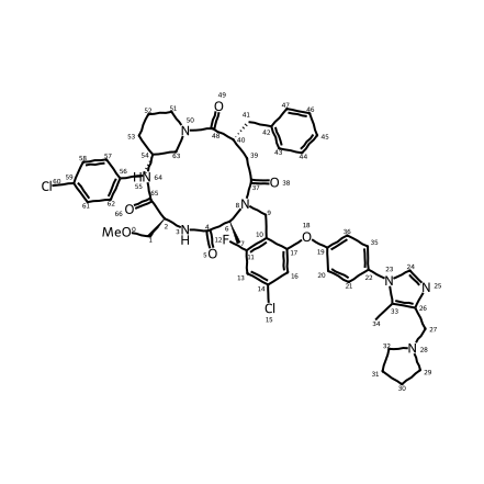 COC[C@@H]1NC(=O)[C@H](C)N(Cc2c(F)cc(Cl)cc2Oc2ccc(-n3cnc(CN4CCCC4)c3C)cc2)C(=O)C[C@@H](Cc2ccccc2)C(=O)N2CCC[C@@](Cc3ccc(Cl)cc3)(C2)NC1=O